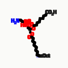 CCCCCCCC/C=C\CCCCCCCC(=O)OC[C@H](COP(=O)(O)OCCN)OC(=O)CCCCCCCC(=O)O